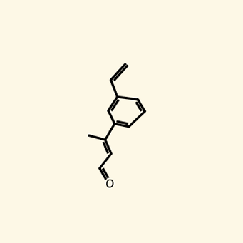 C=Cc1cccc(C(C)=CC=O)c1